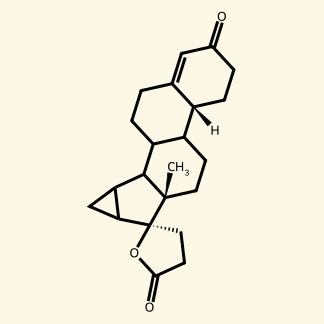 C[C@]12CCC3C(CCC4=CC(=O)CC[C@@H]43)C1C1CC1[C@@]21CCC(=O)O1